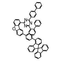 c1ccc(-c2ccc(-c3nc(-c4ccccc4-c4ccccc4)nc(-c4cccc5oc6ccc(-c7ccc(-c8cccc9c8-c8ccccc8C98c9ccccc9-c9ccccc98)cc7)cc6c45)n3)cc2)cc1